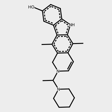 Cc1c2c(c(C)c3c1[nH]c1ccc(O)cc13)CN(C(C)N1CCCCC1)C=C2